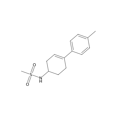 Cc1ccc(C2=CCC(NS(C)(=O)=O)CC2)cc1